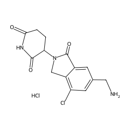 Cl.NCc1cc(Cl)c2c(c1)C(=O)N(C1CCC(=O)NC1=O)C2